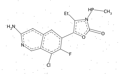 CCc1c(-c2cc3cc(N)ncc3c(Cl)c2F)oc(=O)n1PC